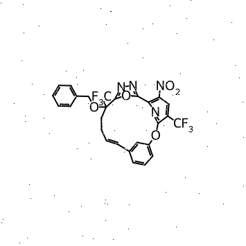 O=[N+]([O-])c1cc(C(F)(F)F)c2nc1-c1nnc(o1)C(OCc1ccccc1)(C(F)(F)F)CC/C=C/c1cccc(c1)O2